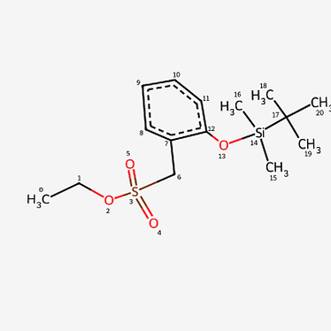 CCOS(=O)(=O)Cc1ccccc1O[Si](C)(C)C(C)(C)C